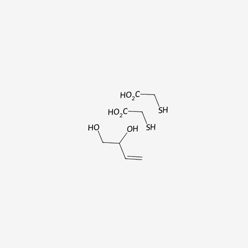 C=CC(O)CO.O=C(O)CS.O=C(O)CS